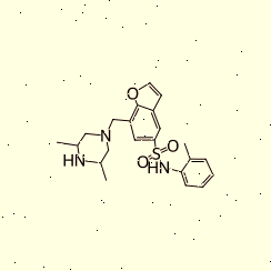 Cc1ccccc1NS(=O)(=O)c1cc(CN2CC(C)NC(C)C2)c2occc2c1